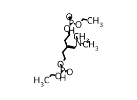 CCO[PH](=O)OCCC(=CN(C)C)CCO[PH](=O)OCC